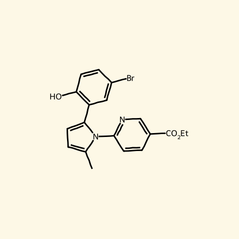 CCOC(=O)c1ccc(-n2c(C)ccc2-c2cc(Br)ccc2O)nc1